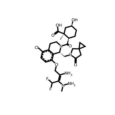 CN(N)/C(=C(\N)COc1ccc(Cl)c2c1[C@@H](CN1CC3(CC3)CC1=O)N(C(=O)[C@@H]1CC[C@H](O)C[C@]1(C)C(=O)O)CC2)C(F)F